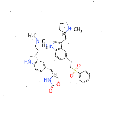 CN(C)CCc1c[nH]c2ccc(C[C@H]3COC(=O)N3)cc12.CN1CCC[C@@H]1Cc1c[nH]c2ccc(CCS(=O)(=O)c3ccccc3)cc12